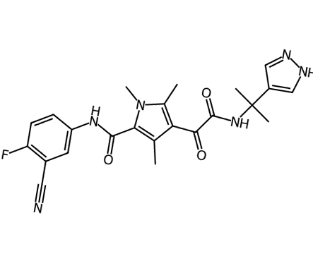 Cc1c(C(=O)C(=O)NC(C)(C)c2cn[nH]c2)c(C)n(C)c1C(=O)Nc1ccc(F)c(C#N)c1